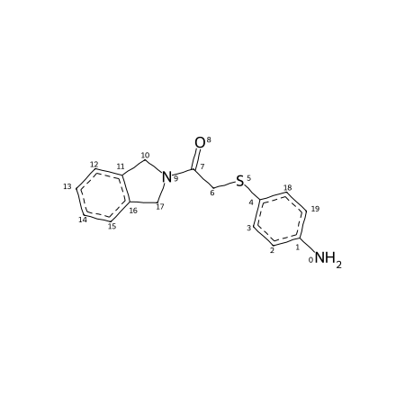 Nc1ccc(SCC(=O)N2Cc3ccccc3C2)cc1